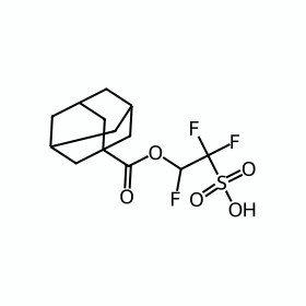 O=C(OC(F)C(F)(F)S(=O)(=O)O)C12CC3CC(CC(C3)C1)C2